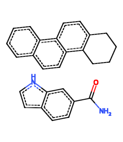 NC(=O)c1ccc2cc[nH]c2c1.c1ccc2c(c1)ccc1c3c(ccc12)CCCC3